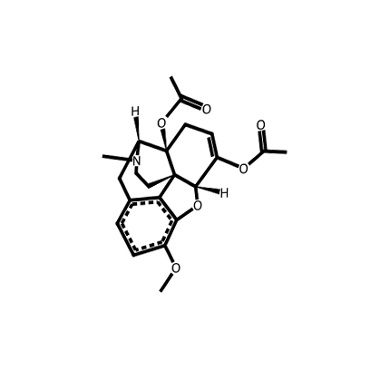 COc1ccc2c3c1O[C@H]1C(OC(C)=O)=CC[C@@]4(OC(C)=O)[C@@H](C2)N(C)CC[C@]314